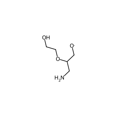 NCC(C[O])OCCO